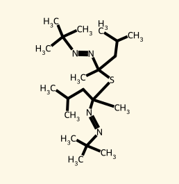 CC(C)CC(C)(N=NC(C)(C)C)SC(C)(CC(C)C)N=NC(C)(C)C